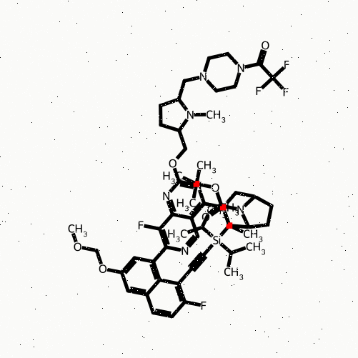 COCOc1cc(-c2ncc3c(N4CC5CCC(C4)N5C(=O)OC(C)(C)C)nc(OCC4CCC(CN5CCN(C(=O)C(F)(F)F)CC5)N4C)nc3c2F)c2c(C#C[Si](C(C)C)(C(C)C)C(C)C)c(F)ccc2c1